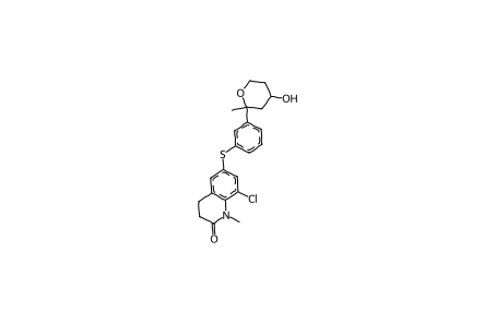 CN1C(=O)CCc2cc(Sc3cccc(C4(C)CC(O)CCO4)c3)cc(Cl)c21